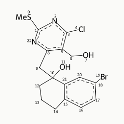 CSc1nc(Cl)c(CO)c(CC2(O)CCCc3ccc(Br)cc32)n1